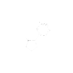 O=C1CCCC1c1cccnc1